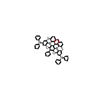 c1ccc(-c2c3c(c(-c4ccccc4)c4c2Oc2cc(N(c5ccccc5)c5ccccc5)cc5c2B4c2ccccc2S5)B2c4ccccc4Sc4cc(N(c5ccccc5)c5ccccc5)cc(c42)O3)cc1